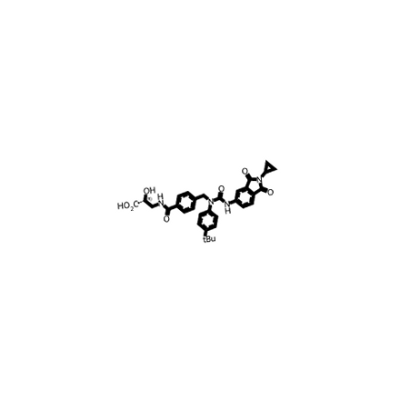 CC(C)(C)c1ccc(N(Cc2ccc(C(=O)NC[C@@H](O)C(=O)O)cc2)C(=O)Nc2ccc3c(c2)C(=O)N(C2CC2)C3=O)cc1